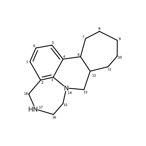 c1cc2c3c(c1)C1CCCCCC1CN3CCNC2